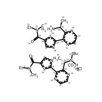 CCN(C)C(=O)c1cnc(-c2nccnc2[C@H](C)N(C(=O)O)C(C)(C)C)s1.CCN(C)C(=O)c1cnc(-c2nccnc2[C@H](C)N)s1.Cl